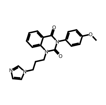 COc1ccc(-n2c(=O)c3ccccc3n(CCCn3ccnc3)c2=O)cc1